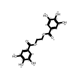 O=C(OCCOC(=O)c1cc(O)c(O)c(O)c1)c1cc(O)c(O)c(O)c1